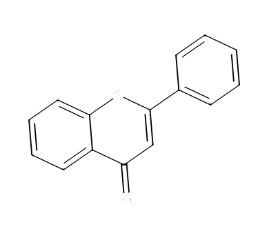 O=c1[c]c(-c2ccccc2)sc2ccccc12